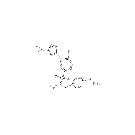 COc1ccc(CN(C)S(=O)(=O)c2ccc(F)c(-c3cn(C4CC4)cn3)c2)cc1